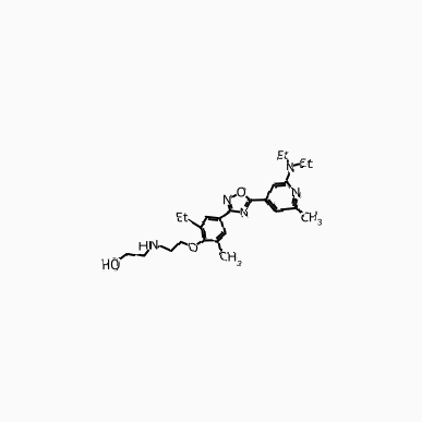 CCc1cc(-c2noc(-c3cc(C)nc(N(CC)CC)c3)n2)cc(C)c1OCCNCCO